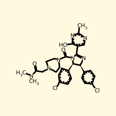 Cc1ncc(C2=N[C@@H](c3ccc(Cl)cc3)[C@@H](c3ccc(Cl)cc3)N2C(=O)N2CCN(CC(=O)N(C)C)CC2)c(O)n1